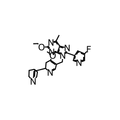 CCOc1nc(C)c2nc(-c3cncc(F)c3)n(CC3=C(OC)CC(C4=CN5CCC4CC5)N=C3)c2n1